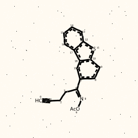 C#CCC/C(=N\OC(C)=O)c1ccc2sc3ccccc3c2c1